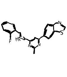 Cc1nc(NCc2ccccc2F)cc(-c2ccc3ncsc3c2)n1